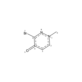 Cn1ccc(=O)c(Br)n1